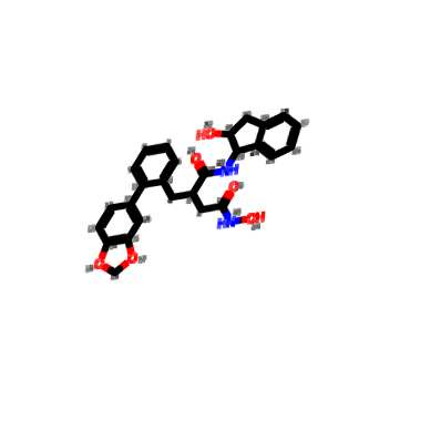 O=C(CC(Cc1ccccc1-c1ccc2c(c1)OCO2)C(=O)NC1c2ccccc2CC1O)NO